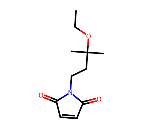 CCOC(C)(C)CCN1C(=O)C=CC1=O